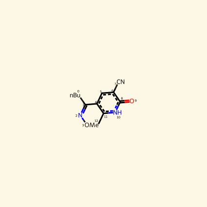 CCCC/C(=N/OC)c1cc(C#N)c(=O)[nH]c1C